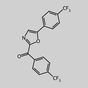 O=C(c1ccc(C(F)(F)F)cc1)c1ncc(-c2ccc(C(F)(F)F)cc2)o1